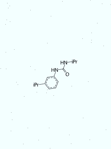 CC(C)NC(=O)Nc1cccc(C(C)C)c1